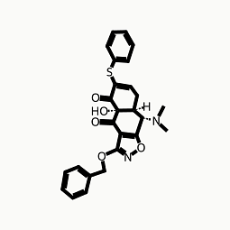 CN(C)[C@@H]1c2onc(OCc3ccccc3)c2C(=O)[C@@]2(O)C(=O)C(Sc3ccccc3)=CC[C@@H]12